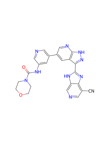 N#Cc1cncc2[nH]c(-c3n[nH]c4ncc(-c5cncc(NC(=O)N6CCOCC6)c5)cc34)nc12